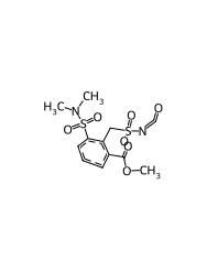 COC(=O)c1cccc(S(=O)(=O)N(C)C)c1CS(=O)(=O)N=C=O